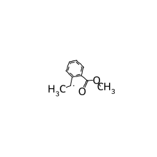 C[CH]c1ccccc1C(=O)OC